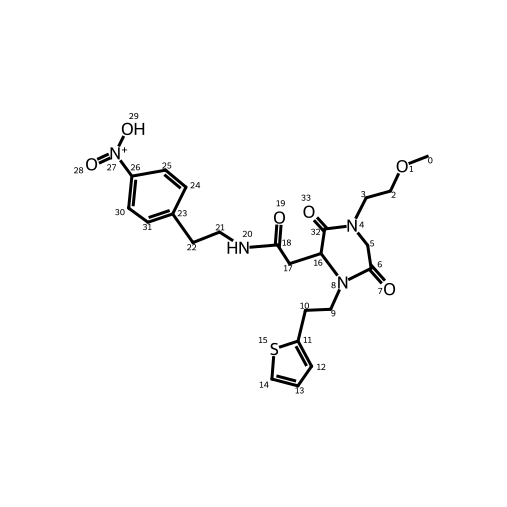 COCCN1CC(=O)N(CCc2cccs2)C(CC(=O)NCCc2ccc([N+](=O)O)cc2)C1=O